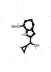 COc1cccc2cc(C(O)C3CC3)oc12